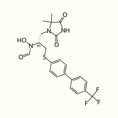 CC1(C)C(=O)NC(=O)N1C[C@H](CSc1ccc(-c2ccc(C(F)(F)F)cc2)cc1)N(O)C=O